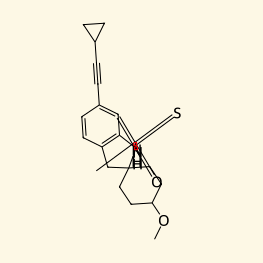 COC1CCC2(CC1)Cc1ccc(C#CC3CC3)cc1C21NC(=S)NC1=O